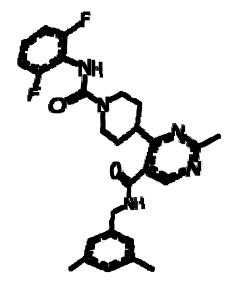 Cc1cc(C)cc(CNC(=O)c2cnc(C)nc2C2CCN(C(=O)Nc3c(F)cccc3F)CC2)c1